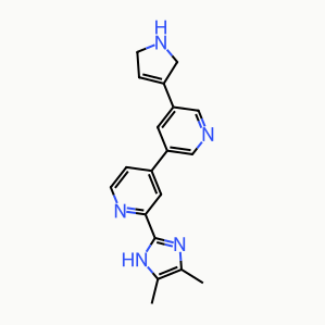 Cc1nc(-c2cc(-c3cncc(C4=CCNC4)c3)ccn2)[nH]c1C